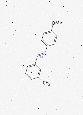 COc1ccc(/N=C/c2cccc(C(F)(F)F)c2)cc1